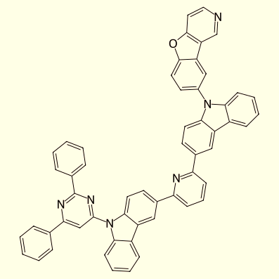 c1ccc(-c2cc(-n3c4ccccc4c4cc(-c5cccc(-c6ccc7c(c6)c6ccccc6n7-c6ccc7oc8ccncc8c7c6)n5)ccc43)nc(-c3ccccc3)n2)cc1